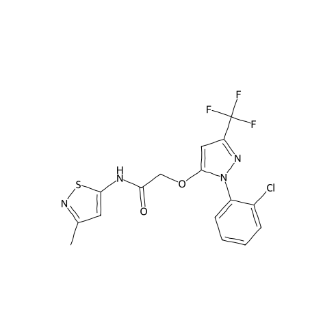 Cc1cc(NC(=O)COc2cc(C(F)(F)F)nn2-c2ccccc2Cl)sn1